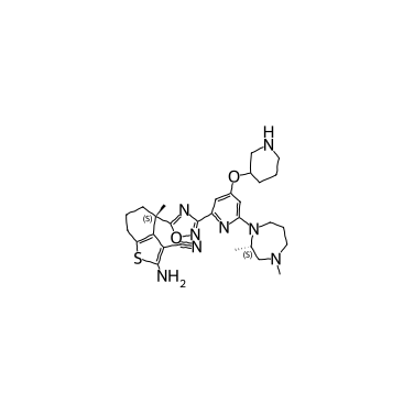 C[C@H]1CN(C)CCCN1c1cc(OC2CCCNC2)cc(-c2noc([C@@]3(C)CCCc4sc(N)c(C#N)c43)n2)n1